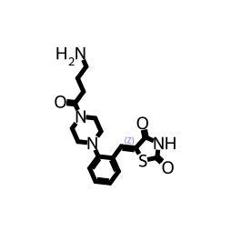 NCCCC(=O)N1CCN(c2ccccc2/C=C2\SC(=O)NC2=O)CC1